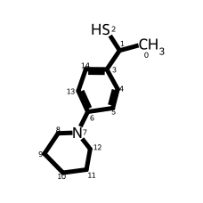 CC(S)c1ccc(N2CCCCC2)cc1